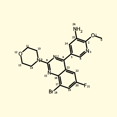 COc1ncc(-c2nc(N3CCOCC3)nc3c(Br)cc(F)cc23)cc1N